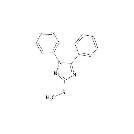 CSc1nc(-c2ccccc2)n(-c2ccccc2)n1